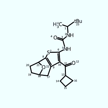 CC(NC(=O)Nc1sc2c(c1C(=O)C1CCC1)CC1CCC2O1)C(C)(C)C